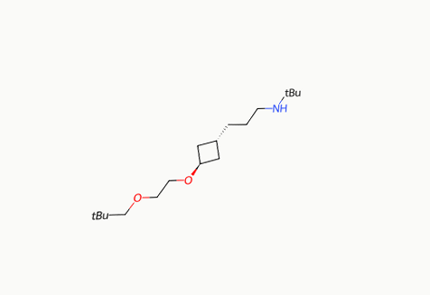 CC(C)(C)COCCO[C@H]1C[C@H](CCCNC(C)(C)C)C1